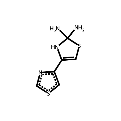 NC1(N)NC(c2cscn2)=CS1